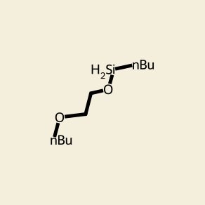 CCCCOCCO[SiH2]CCCC